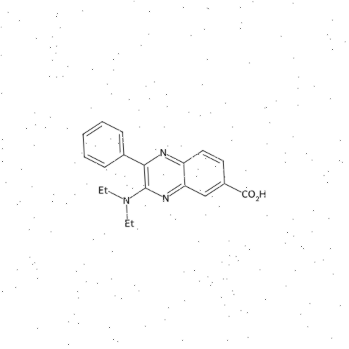 CCN(CC)c1nc2cc(C(=O)O)ccc2nc1-c1ccccc1